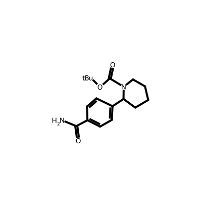 CC(C)(C)OC(=O)N1CCCCC1c1ccc(C(N)=O)cc1